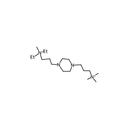 CC[N+](C)(CC)CCCN1CCN(CCC[N+](C)(C)C)CC1